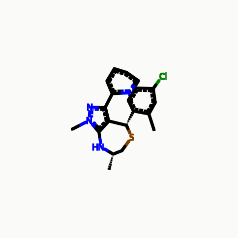 Cc1cc(Cl)ccc1[C@@H]1SC[C@H](C)Nc2c1c(-c1ccccn1)nn2C